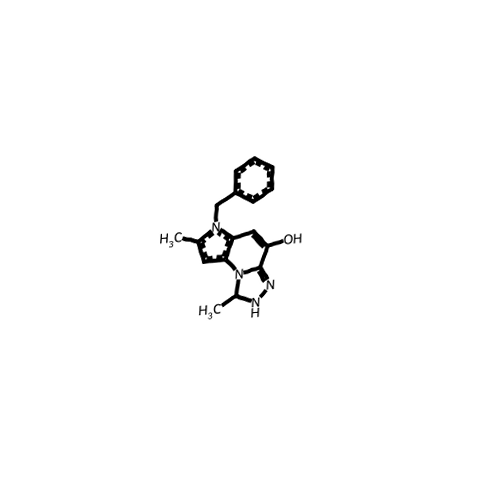 Cc1cc2c(n1Cc1ccccc1)C=C(O)C1=NNC(C)N12